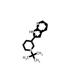 CC(C)(C)N1CCCC(c2cc3cccnc3[nH]2)C1